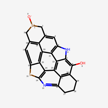 [O-][S+]1Cc2cc3[nH]c4c(O)c5c6c(nc7sc8cc(c2c2c3c4c6c7c82)C1)CCC5